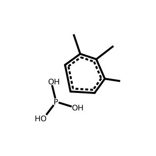 Cc1cccc(C)c1C.OP(O)O